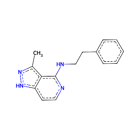 Cc1n[nH]c2ccnc(NCCc3ccccc3)c12